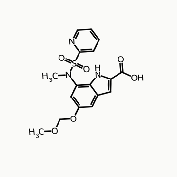 COCOc1cc(N(C)S(=O)(=O)c2ccccn2)c2[nH]c(C(=O)O)cc2c1